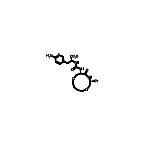 CC(C)[C@H]1COCCCCOC[C@@H](NC(=O)N[C@@H](Cc2ccc(N)nc2)C(=O)O)C(=O)N1